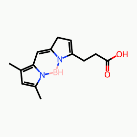 Cc1cc(C)n2c1C=C1CC=C(CCC(=O)O)N1B2